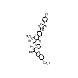 CC(C)[C@@H](C(O)c1nc2cc(C(=O)O)ccc2o1)N1CCC[C@H]1C(=O)N(C(=O)c1ccc(C(=O)NS(=O)(=O)c2ccc(Cl)cc2)cc1)C(=O)[C@@H](N)C(C)C